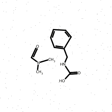 CN(C)C=O.O=C(O)NCc1ccccc1